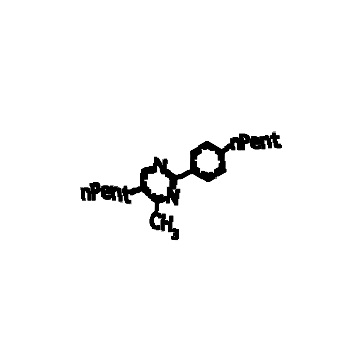 CCCCCc1ccc(-c2ncc(CCCCC)c(C)n2)cc1